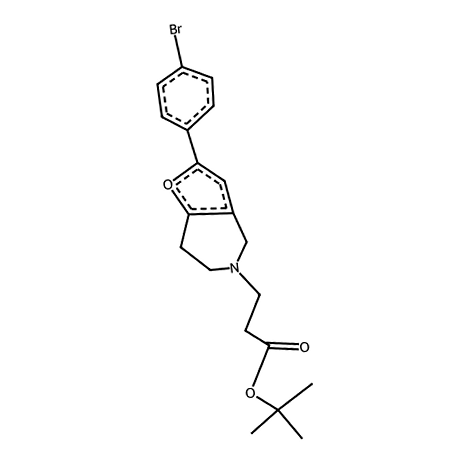 CC(C)(C)OC(=O)CCN1CCc2oc(-c3ccc(Br)cc3)cc2C1